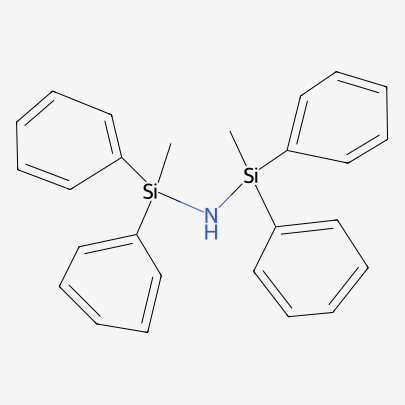 C[Si](N[Si](C)(c1ccccc1)c1ccccc1)(c1ccccc1)c1ccccc1